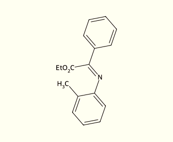 CCOC(=O)C(=Nc1ccccc1C)c1ccccc1